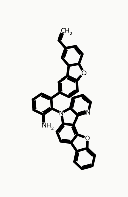 C=CC1=CC2c3cc(-c4cccc(N)c4-n4c5cccnc5c5c6oc7ccccc7c6ccc54)ccc3OC2C=C1